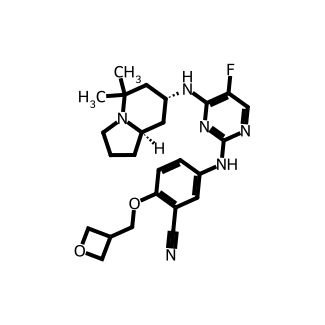 CC1(C)C[C@H](Nc2nc(Nc3ccc(OCC4COC4)c(C#N)c3)ncc2F)C[C@H]2CCCN21